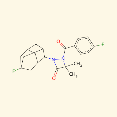 CC1(C)C(=O)N(C2C3CC4CC2CC(F)(C4)C3)N1C(=O)c1ccc(F)cc1